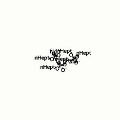 CCCCCCCOP(=O)([O-])OCCCCCCC.CCCCCCCOP(=O)([O-])OCCCCCCC.CCCCCCCOP(=O)([O-])OCCCCCCC.[Nd+3]